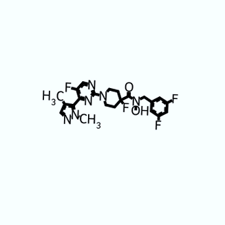 Cc1cnn(C)c1-c1nc(N2CCC(F)(C(=O)N(O)Cc3cc(F)cc(F)c3)CC2)ncc1F